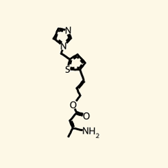 CC(N)=CC(=O)OCC=Cc1ccc(Cn2ccnc2)s1